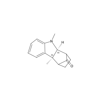 CN1c2ccccc2[C@]2(C)C3CCC(C3=O)[C@H]12